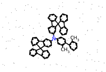 Cc1ccccc1-c1ccc(N(c2ccc3c(c2)-c2ccccc2C32c3ccccc3-c3ccccc32)c2ccc3c(c2)C2(c4ccccc4-c4ccccc42)c2ccccc2-3)cc1C